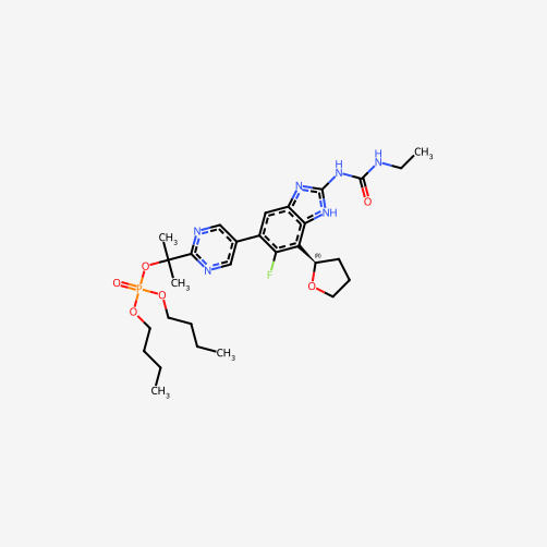 CCCCOP(=O)(OCCCC)OC(C)(C)c1ncc(-c2cc3nc(NC(=O)NCC)[nH]c3c([C@H]3CCCO3)c2F)cn1